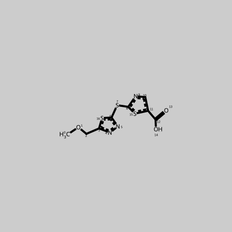 COCc1nnc(Sc2ncc(C(=O)O)s2)s1